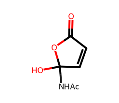 CC(=O)NC1(O)C=CC(=O)O1